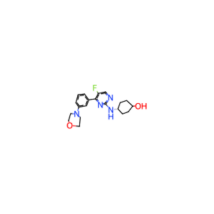 O[C@H]1CC[C@H](Nc2ncc(F)c(-c3cccc(N4CCOCC4)c3)n2)CC1